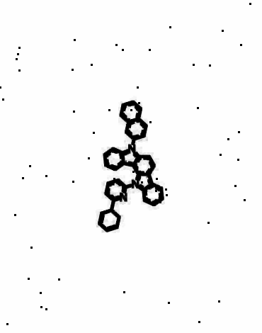 C1=CCC(c2cccc(-n3c4ccccc4c4ccc5c(c6ccccc6n5-c5ccc6ccccc6c5)c43)n2)C=C1